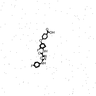 O=C(Nc1ccc(OC2CCC(C(=O)O)CC2)cc1F)c1nnc(Nc2ccc(F)cc2)o1